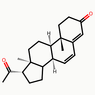 CC(=O)[C@H]1CCC2[C@@H]3C=CC4=CC(=O)CC[C@@]4(C)[C@@H]3CC[C@@]21C